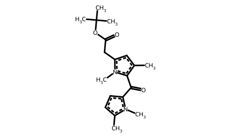 Cc1cc(CC(=O)OC(C)(C)C)n(C)c1C(=O)c1ccc(C)n1C